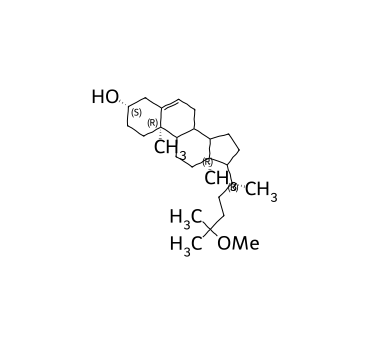 COC(C)(C)CC[C@@H](C)C1CCC2C3CC=C4C[C@@H](O)CC[C@]4(C)C3CC[C@@]21C